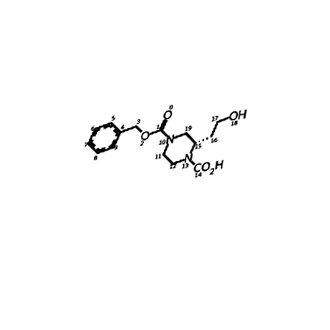 O=C(OCc1ccccc1)N1CCN(C(=O)O)[C@@H](CCO)C1